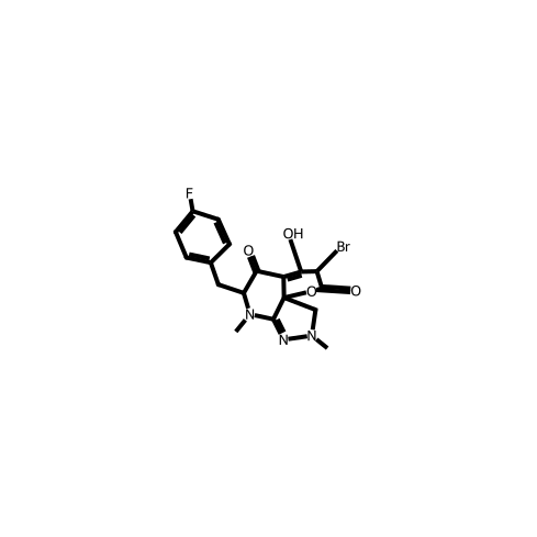 CN1CC23OC(=O)C(Br)C(O)=C2C(=O)C(Cc2ccc(F)cc2)N(C)C3=N1